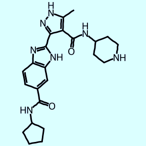 Cc1[nH]nc(-c2nc3ccc(C(=O)NC4CCCC4)cc3[nH]2)c1C(=O)NC1CCNCC1